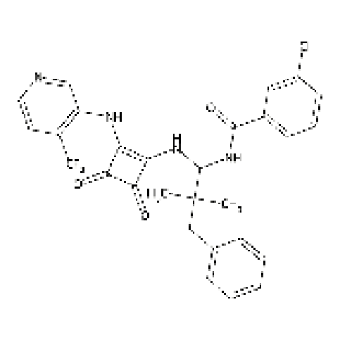 CC(C)(Cc1ccccc1)C(NC(=O)c1cccc(Cl)c1)Nc1c(Nc2cnccc2C(F)(F)F)c(=O)c1=O